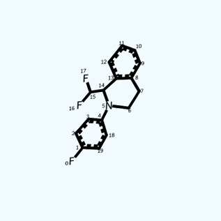 Fc1ccc(N2CCc3ccccc3C2C(F)F)cc1